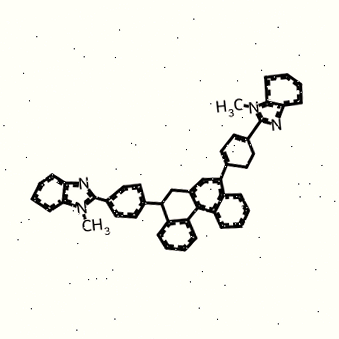 Cn1c(C2=CC=C(c3cc4c(c5ccccc35)-c3ccccc3C(c3ccc(-c5nc6ccccc6n5C)cc3)C4)CC2)nc2ccccc21